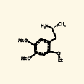 CCOc1cc(OC)c(OC)cc1C[C@@H](C)N